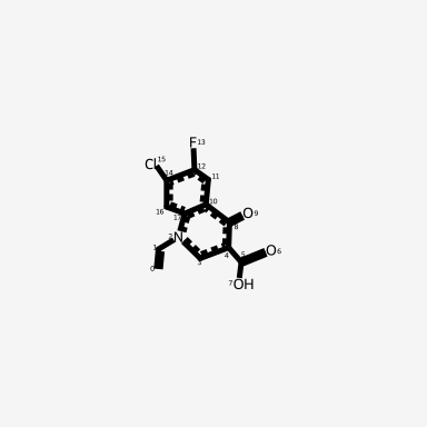 C=Cn1cc(C(=O)O)c(=O)c2cc(F)c(Cl)cc21